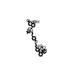 CC(C)(C)[Si](C)(C)O[C@H](CNCCc1ccc(OCCCc2ccc(-c3ccccc3)c(N(C(=O)O)[C@H]3CN4CCC3CC4)c2)cc1)c1ccc(O)c2[nH]c(=O)ccc12